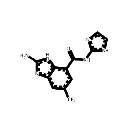 Nc1nc2cc(C(F)(F)F)cc(C(=O)Nc3ncc[nH]3)c2[nH]1